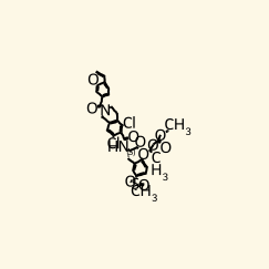 CCOC(=O)OC(C)OC(=O)[C@H](Cc1cccc(S(C)(=O)=O)c1)NC(=O)c1c(Cl)cc2c(c1Cl)CCN(C(=O)c1ccc3ccoc3c1)C2